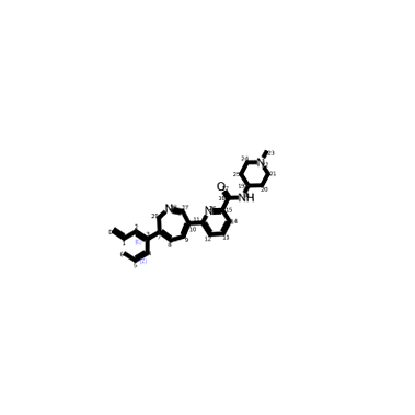 C=C/C=C(\C=C/C)C1=CC=C(c2cccc(C(=O)NC3CCN(C)CC3)n2)C=NC1